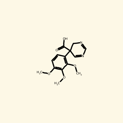 COc1ccc(C2(C(=O)O)C=NC=NC2)c(OC)c1OC